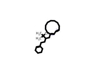 CC(C)(C)C([CH]/C1=C/C=C/CCCCCCCC1)CCC1=CCCCC1